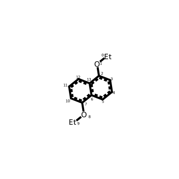 CCOc1cccc2c(OCC)cccc12